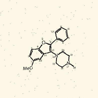 COc1ccc2oc(-c3ccccc3)c(N3CCN(C)CC3)c2c1